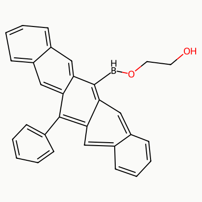 OCCOBc1c2cc3ccccc3cc2c(-c2ccccc2)c2cc3ccccc3cc12